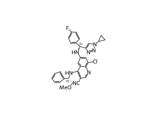 COC[C@@H](Nc1c(C#N)cnc2c(Cl)cc(N[C@@H](c3ccc(F)cc3)c3cn(C4CC4)nn3)cc12)c1ccccc1